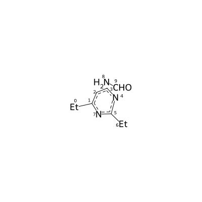 CCc1ccnc(CC)n1.NC=O